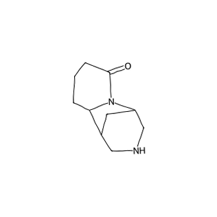 O=C1CCCC2C3CNCC(C3)N12